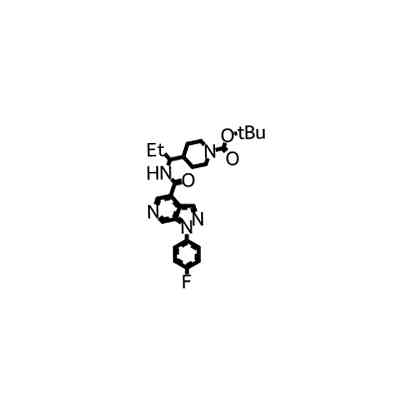 CCC(NC(=O)c1cncc2c1cnn2-c1ccc(F)cc1)C1CCN(C(=O)OC(C)(C)C)CC1